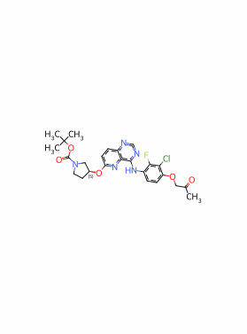 CC(=O)COc1ccc(Nc2ncnc3ccc(O[C@H]4CCN(C(=O)OC(C)(C)C)C4)nc23)c(F)c1Cl